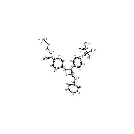 NCCOC(=O)c1ccc(C2CC(=Nc3ccccc3)N2c2ccccc2)cc1.O=C(O)C(F)(F)F